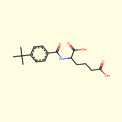 CC(C)(C)c1ccc(C(=O)NC(CCCC(=O)O)C(=O)O)cc1